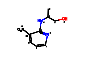 CC(CO)Nc1ncccc1[N+](=O)[O-]